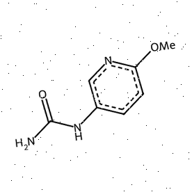 COc1ccc(NC(N)=O)cn1